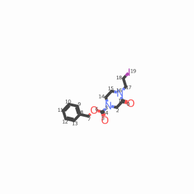 O=C1CN(C(=O)OCc2ccccc2)CCN1CCI